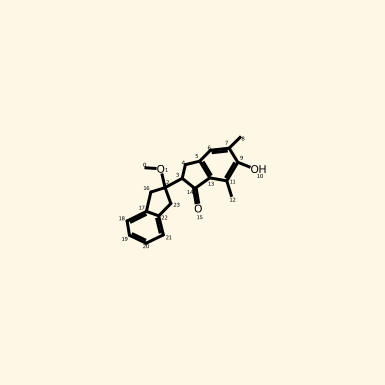 COC1(C2Cc3cc(C)c(O)c(C)c3C2=O)Cc2ccccc2C1